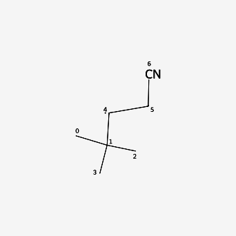 CC(C)(C)[CH]CC#N